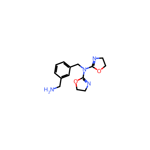 NCc1cccc(CN(C2=NCCO2)C2=NCCO2)c1